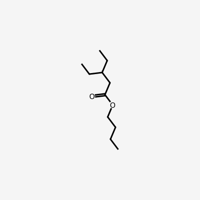 CCCCOC(=O)C[C](CC)CC